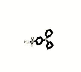 C[Si](Cl)(Cl)c1ccc(N(c2ccccc2)c2ccccc2)cc1